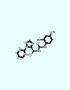 CC(NC(=O)Nc1ccc(C#N)cc1Br)c1ncnn1-c1ncccn1